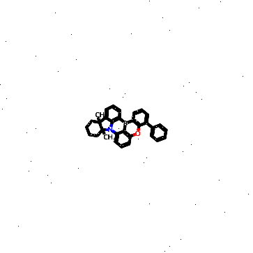 CC12CCCCC1(C)N1c3cccc4c3B(c3cccc(-c5ccccc5)c3O4)c3cccc2c31